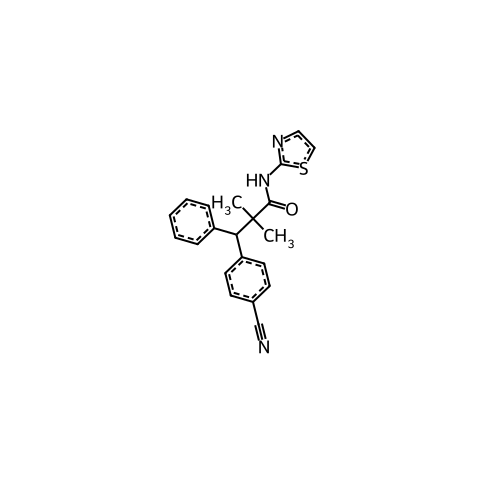 CC(C)(C(=O)Nc1nccs1)C(c1ccccc1)c1ccc(C#N)cc1